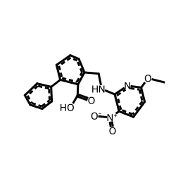 COc1ccc([N+](=O)[O-])c(NCc2cccc(-c3ccccc3)c2C(=O)O)n1